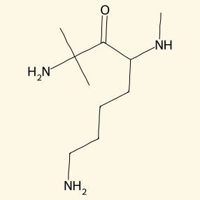 CNC(CCCCN)C(=O)C(C)(C)N